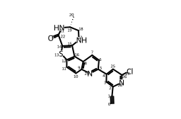 C#Cc1cc(-c2ccc3c(ccc4sc5c(c43)NC[C@@H](C)NC5=O)n2)cc(Cl)n1